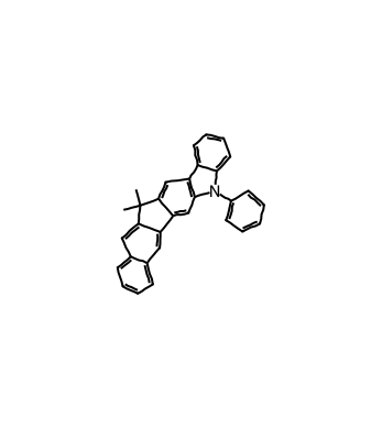 CC1(C)c2cc3ccccc3cc2-c2cc3c(cc21)c1ccccc1n3-c1ccccc1